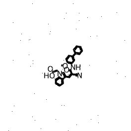 COc1ccc(-c2ccccc2)cc1NC(=O)C(C#N)=Cc1cn(CC(=O)O)c2ccccc12